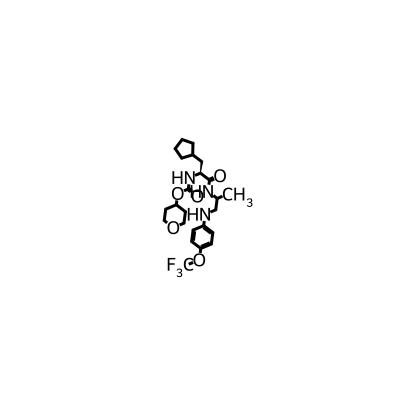 CC(CNc1ccc(OC(F)(F)F)cc1)NC(=O)[C@H](CC1CCCC1)NC(=O)OC1CCOCC1